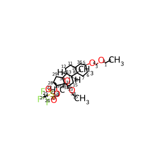 CCOCO[C@H]1CC[C@@]2(C)C(CC[C@@H]3[C@@H]2CC[C@]2(C)C(OS(=O)(=O)C(F)(F)F)=CC[C@]32OCOCC)C1